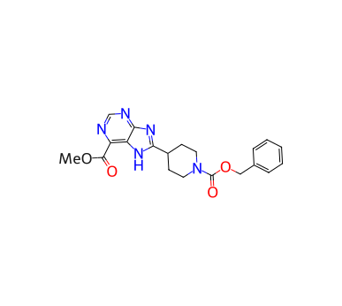 COC(=O)c1ncnc2nc(C3CCN(C(=O)OCc4ccccc4)CC3)[nH]c12